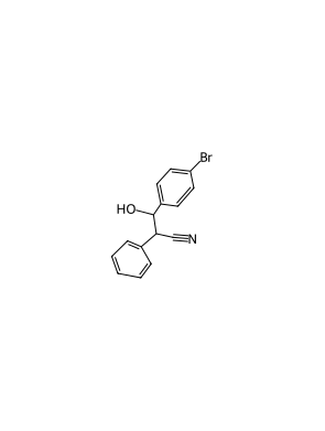 N#CC(c1ccccc1)C(O)c1ccc(Br)cc1